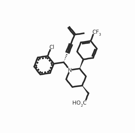 C=C(C)C#C[C@@H](c1ccccc1Cl)N1CC[C@H](CC(=O)O)C[C@@H]1C1C=CC(C(F)(F)F)=CC1